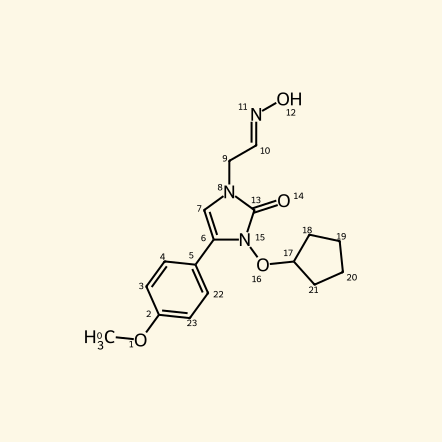 COc1ccc(-c2cn(CC=NO)c(=O)n2OC2CCCC2)cc1